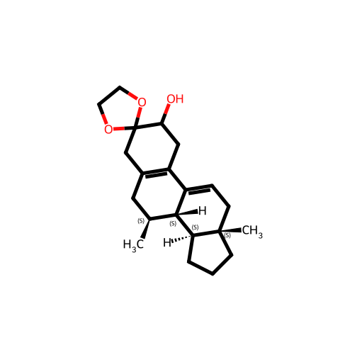 C[C@H]1CC2=C(CC(O)C3(C2)OCCO3)C2=CC[C@]3(C)CCC[C@H]3[C@@H]21